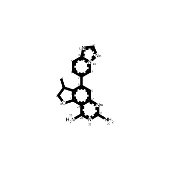 CC1COc2c1c(-c1ccc3ncnn3c1)cc1nc(N)nc(N)c21